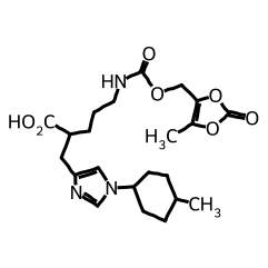 Cc1oc(=O)oc1COC(=O)NCCCC(Cc1cn(C2CCC(C)CC2)cn1)C(=O)O